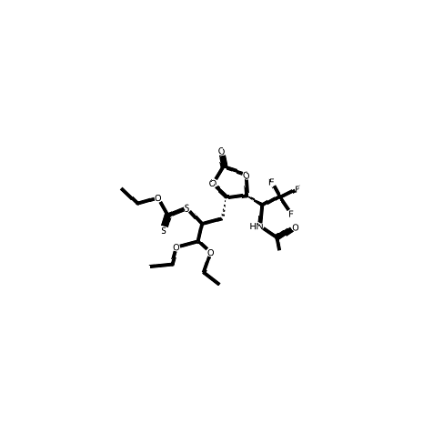 CCOC(=S)SC(C[C@@H]1OC(=O)O[C@H]1C(NC(C)=O)C(F)(F)F)C(OCC)OCC